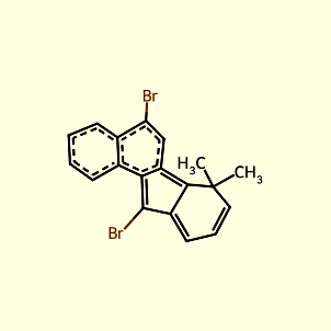 CC1(C)C=CC=C2C1=c1cc(Br)c3ccccc3c1=C2Br